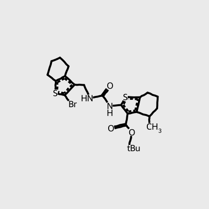 CC1CCCc2sc(NC(=O)NCc3c(Br)sc4c3CCCC4)c(C(=O)OC(C)(C)C)c21